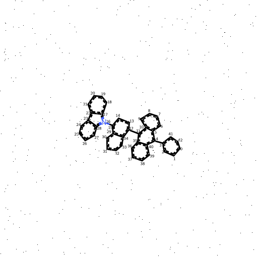 c1ccc(-c2c3ccccc3c(-c3ccc(-n4c5ccccc5c5ccccc54)c4ccccc34)c3ccccc23)cc1